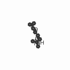 c1ccc(C2=NC(c3ccccc3)NC(c3cccc4c3oc3cc(-c5ccc6c(c5)oc5cc(-n7c8ccccc8c8ccccc87)ccc56)ccc34)=N2)cc1